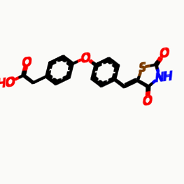 O=C(O)Cc1ccc(Oc2ccc(/C=C3\SC(=O)NC3=O)cc2)cc1